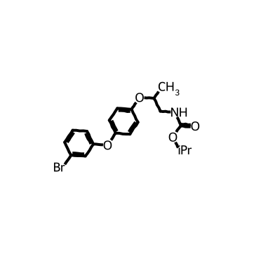 CC(C)OC(=O)NCC(C)Oc1ccc(Oc2cccc(Br)c2)cc1